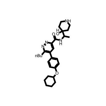 CCCCc1nnc(C(=O)NC(C)C2(O)CCNCC2)cc1-c1ccc(OC2CCCCC2)cc1